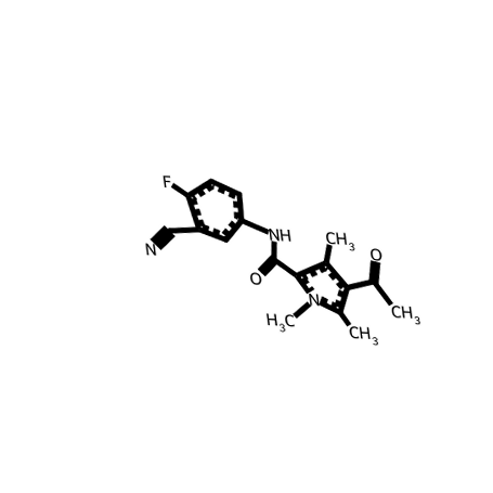 CC(=O)c1c(C)c(C(=O)Nc2ccc(F)c(C#N)c2)n(C)c1C